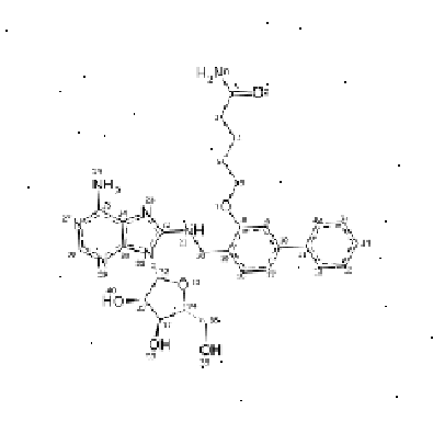 NC(=O)CCCCOc1cc(-c2ccccc2)ccc1CNc1nc2c(N)ncnc2n1[C@@H]1O[C@H](CO)[C@@H](O)[C@H]1O